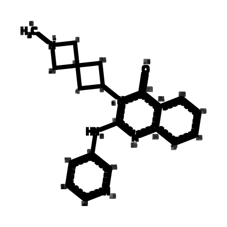 CN1CC2(CC(n3c(Nc4cccnc4)nc4ccccc4c3=O)C2)C1